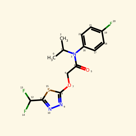 CC(C)N(C(=O)COc1nnc(C(F)F)s1)c1ccc(F)cc1